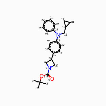 CC(C)(C)OC(=O)N1CC(c2ccc(N(CC3CC3)c3ccccc3)cc2)C1